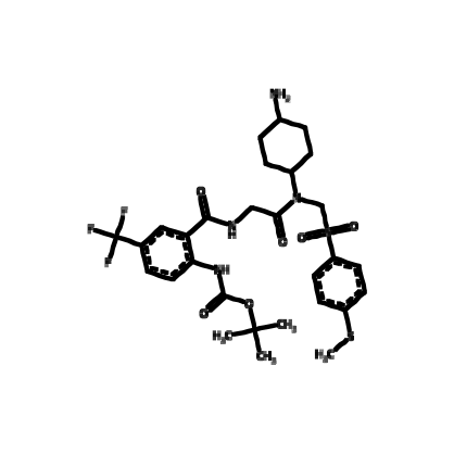 CSc1ccc(S(=O)(=O)CN(C(=O)CNC(=O)c2cc(C(F)(F)F)ccc2NC(=O)OC(C)(C)C)C2CCC(N)CC2)cc1